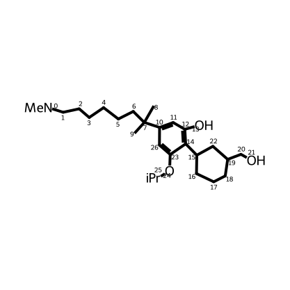 CNCCCCCCC(C)(C)c1cc(O)c(C2CCCC(CO)C2)c(OC(C)C)c1